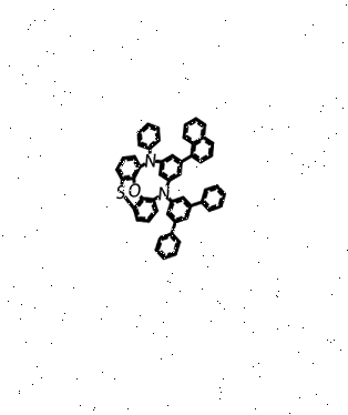 c1ccc(-c2cc(-c3ccccc3)cc(N3c4cc(-c5cccc6ccccc56)cc(c4)N(c4ccccc4)c4cccc5c4Oc4c(cccc43)S5)c2)cc1